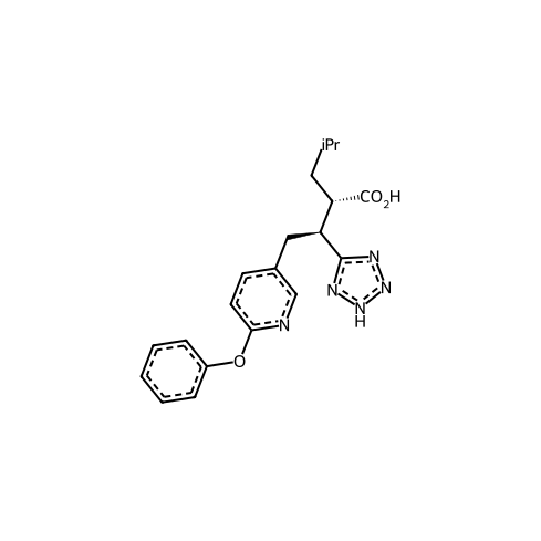 CC(C)C[C@H](C(=O)O)[C@H](Cc1ccc(Oc2ccccc2)nc1)c1nn[nH]n1